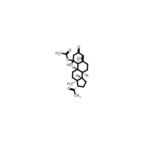 CC(=O)OC1(O)CC(=O)C=C2CC[C@H]3[C@@H]4CC[C@H](C(C)=O)[C@@]4(C)CC[C@@H]3[C@]21C